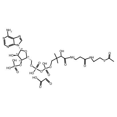 CC(=O)SCCNC(=O)CCNC(=O)C(O)C(C)(C)COP(=O)(O)OP(=O)(O)OC[C@H]1O[C@@H](n2cnc3c(N)ncnc32)[C@H](O)[C@@H]1OP(=O)(O)O.O=CC(=O)O